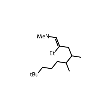 CC/C(=C\NC)CC(C)C(C)CCCC(C)(C)C